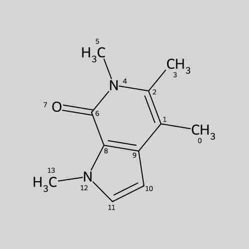 Cc1c(C)n(C)c(=O)c2c1ccn2C